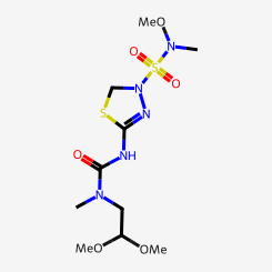 COC(CN(C)C(=O)NC1=NN(S(=O)(=O)N(C)OC)CS1)OC